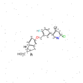 O=C(O)[C@H]1[C@@H]2Cc3cc(OCc4cc(-c5cnc(Cl)cc5C(F)(F)F)ccc4F)ccc3[C@@H]21